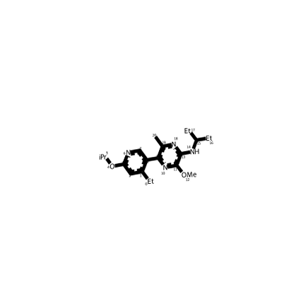 CCc1cc(OC(C)C)ncc1-c1nc(OC)c(NC(CC)CC)nc1C